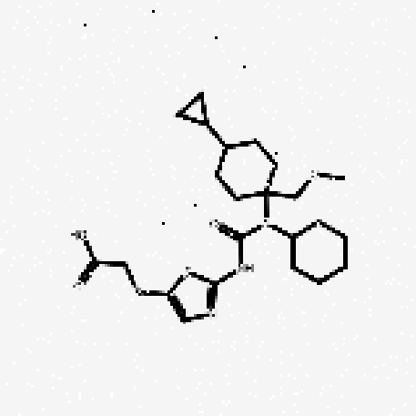 COCC1(N(C(=O)Nc2ncc(SCC(=O)O)s2)C2CCCCC2)CCC(C2CC2)CC1